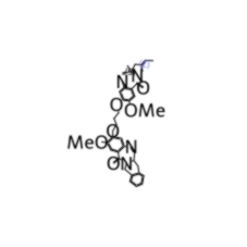 C/C=C1\CN2C(=O)c3cc(OC)c(OCCCOc4cc5c(cc4OC)C(=O)N4Cc6ccccc6CC4C=N5)cc3N=C[C@]2(C)C1